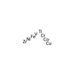 [Co].[Cr].[Cu].[Fe].[Ni].[Ti].[V].[Zr]